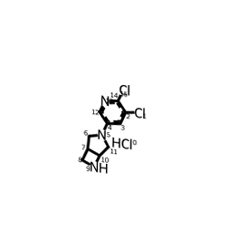 Cl.Clc1cc(N2CC3CNC3C2)cnc1Cl